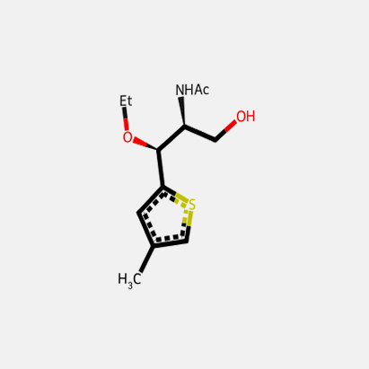 CCO[C@H](c1cc(C)cs1)[C@H](CO)NC(C)=O